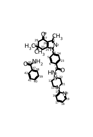 Cc1nn(-c2ccc(C(=O)NN3CCN(c4ccccn4)CC3)cc2)c2c1C(=O)CC(C)(C)C2.NC(=O)c1ccccc1